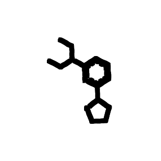 CCN(CC)c1cccc(C2CCCO2)n1